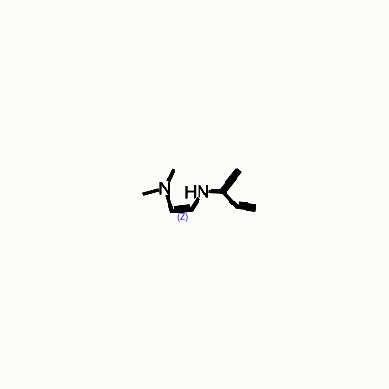 C=CC(=C)N/C=C\N(C)C